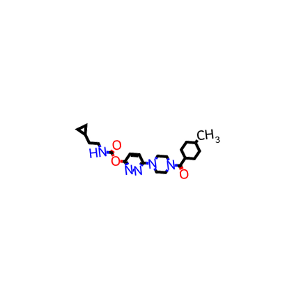 CC1CCC(C(=O)N2CCN(c3ccc(OC(=O)NCCC4CC4)nn3)CC2)CC1